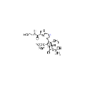 C[C@@H](O)[C@H]1C(=O)N2C(C(=O)[O-])=C(S/C=C\c3nc(C(=O)NCCO)cs3)[C@H](C)[C@H]12.[Na+]